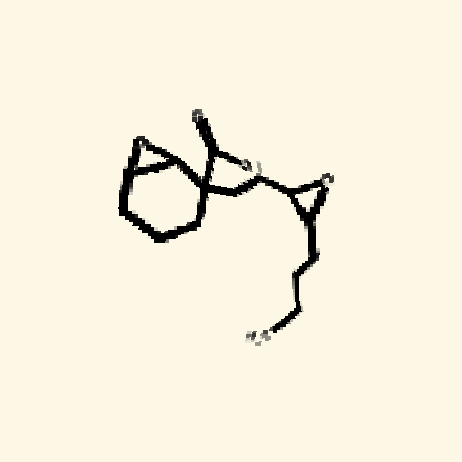 CCCCC1OC1CCC1(C(=O)O)CCCC2OC21